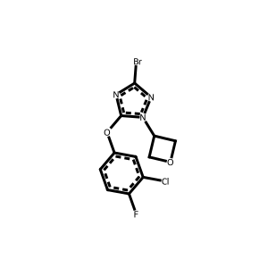 Fc1ccc(Oc2nc(Br)nn2C2COC2)cc1Cl